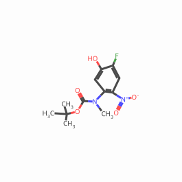 CN(C(=O)OC(C)(C)C)c1cc(O)c(F)cc1[N+](=O)[O-]